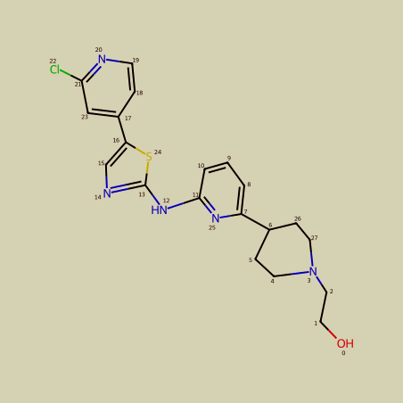 OCCN1CCC(c2cccc(Nc3ncc(-c4ccnc(Cl)c4)s3)n2)CC1